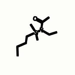 CCCC[Si](C)(C)N(CC)C(C)=O